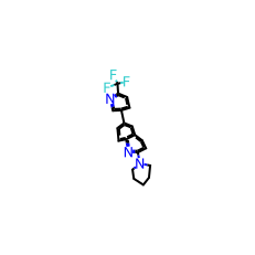 FC(F)(F)c1ccc(-c2ccc3nc(N4CCCCC4)ccc3c2)cn1